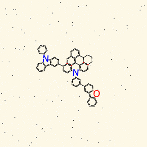 c1ccc(-n2c3ccccc3c3cc(-c4ccc(N(c5cccc(-c6ccc7oc8ccccc8c7c6)c5)c5ccccc5-c5cccc6cccc(C7CCCCC7)c56)cc4)ccc32)cc1